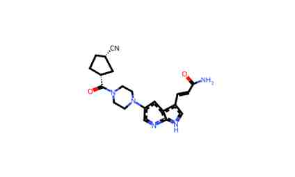 N#C[C@H]1CC[C@@H](C(=O)N2CCN(c3cnc4[nH]cc(/C=C/C(N)=O)c4c3)CC2)C1